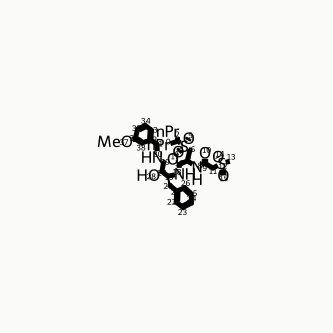 CCCC(CCC)S(=O)(=O)CC(NC(=O)CS(C)(=O)=O)C(=O)N[C@@H](Cc1ccccc1)[C@H](O)CNCc1cccc(OC)c1